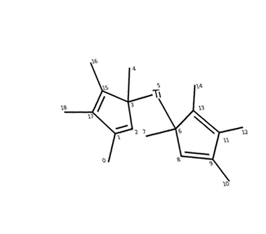 CC1=C[C](C)([Ti][C]2(C)C=C(C)C(C)=C2C)C(C)=C1C